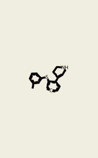 Cc1cccc(Sc2ccccc2C2=CCNCC2)c1